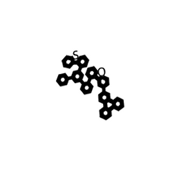 c1ccc(-c2cc(-c3ccccc3-c3cccc4oc5ccc(-c6ccc7c8ccccc8c8ccccc8c7c6)cc5c34)cc(-c3cccc4sc5ccccc5c34)c2)cc1